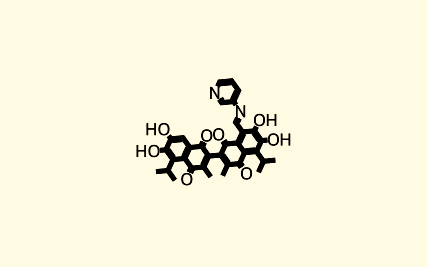 CC1=C(C2=C(C)C(=O)c3c(c(/C=N/c4cccnc4)c(O)c(O)c3C(C)C)C2=O)C(=O)c2cc(O)c(O)c(C(C)C)c2C1=O